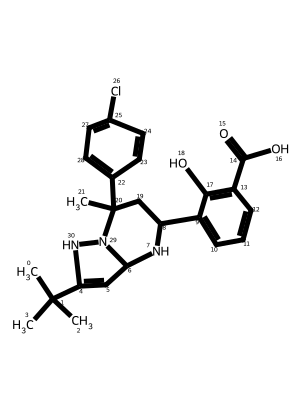 CC(C)(C)C1=CC2NC(c3cccc(C(=O)O)c3O)CC(C)(c3ccc(Cl)cc3)N2N1